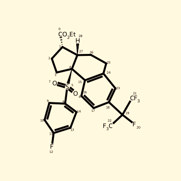 CCOC(=O)[C@H]1CC[C@@]2(S(=O)(=O)c3ccc(F)cc3)c3ccc(C(F)(C(F)(F)F)C(F)(F)F)cc3CC[C@@H]12